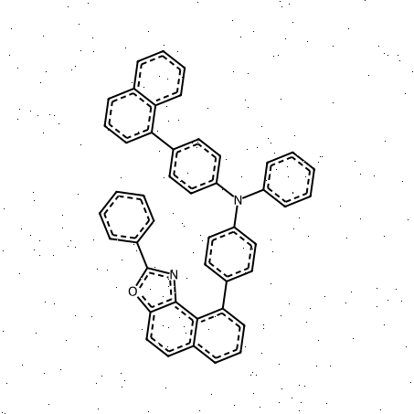 c1ccc(-c2nc3c(ccc4cccc(-c5ccc(N(c6ccccc6)c6ccc(-c7cccc8ccccc78)cc6)cc5)c43)o2)cc1